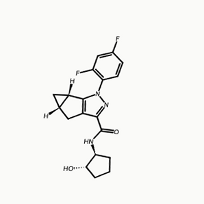 O=C(N[C@H]1CCC[C@@H]1O)c1nn(-c2ccc(F)cc2F)c2c1C[C@@H]1C[C@H]21